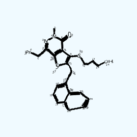 CC(C)Cc1nn(C)c(=O)c2c(SCCCO)c(Cc3cccc4ccccc34)sc12